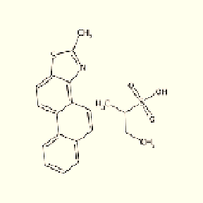 CCC(C)S(=O)(=O)O.Cc1nc2c(ccc3c4ccccc4ccc32)s1